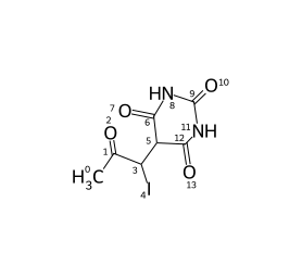 CC(=O)C(I)C1C(=O)NC(=O)NC1=O